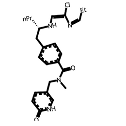 CC/C=N\C(Cl)=C/N[C@@H](CCC)Cc1ccc(C(=O)N(C)Cc2ccc(=O)[nH]c2)cc1